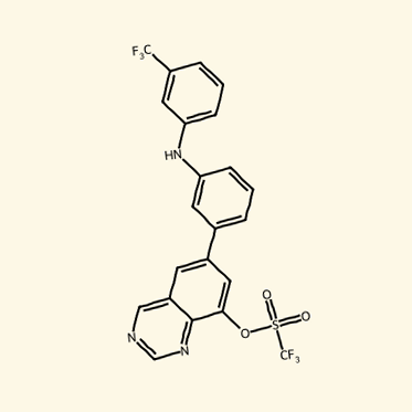 O=S(=O)(Oc1cc(-c2cccc(Nc3cccc(C(F)(F)F)c3)c2)cc2cncnc12)C(F)(F)F